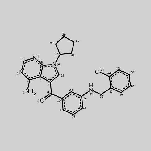 Nc1ncnc2c1c(C(=O)c1cccc(NCc3ccccc3Cl)c1)cn2C1CCCC1